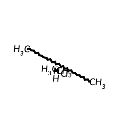 CCCCCCCCCCCCCCCCCCCCC(Cl)CCCCCCCCCCC.CNC